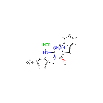 Cl.N=C(N)N(Cc1ccc([N+](=O)[O-])cc1)C(=O)c1cc2ccccc2[nH]1